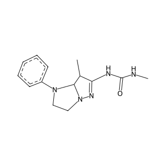 CNC(=O)NC1=NN2CCN(c3ccccc3)C2C1C